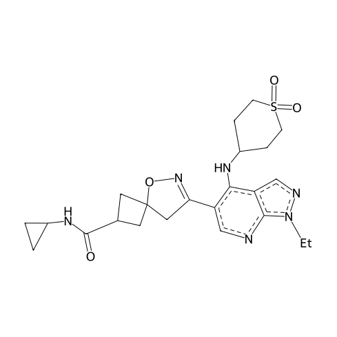 CCn1ncc2c(NC3CCS(=O)(=O)CC3)c(C3=NOC4(C3)CC(C(=O)NC3CC3)C4)cnc21